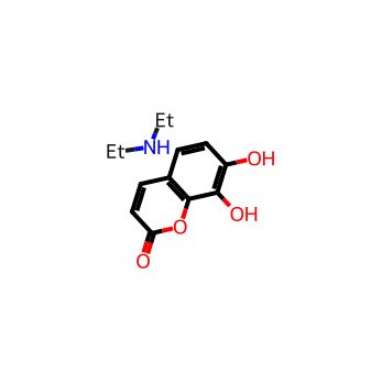 CCNCC.O=c1ccc2ccc(O)c(O)c2o1